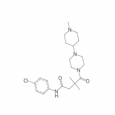 CN1CCC(N2CCN(C(=O)C(C)(C)CC(=O)Nc3ccc(Cl)cc3)CC2)CC1